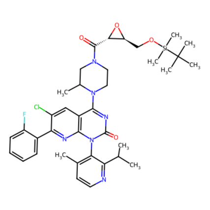 Cc1ccnc(C(C)C)c1-n1c(=O)nc(N2CCN(C(=O)[C@@H]3O[C@H]3CO[Si](C)(C)C(C)(C)C)CC2C)c2cc(Cl)c(-c3ccccc3F)nc21